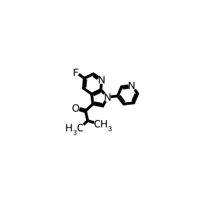 CC(C)C(=O)c1cn(-c2cccnc2)c2ncc(F)cc12